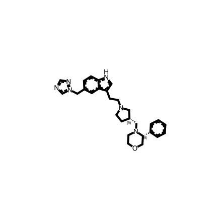 c1ccc([C@@H]2COCCN2C[C@@H]2CCN(CCc3c[nH]c4ccc(Cn5cncn5)cc34)C2)cc1